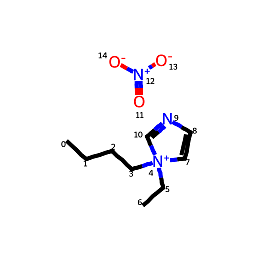 CCCC[N+]1(CC)C=CN=C1.O=[N+]([O-])[O-]